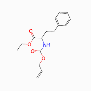 C=CCOC(=O)NC(CCc1ccccc1)C(=O)OCC